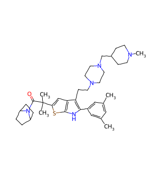 Cc1cc(C)cc(-c2[nH]c3sc(C(C)(C)C(=O)N4C5CCC4CC5)cc3c2CCN2CCN(CC3CCN(C)CC3)CC2)c1